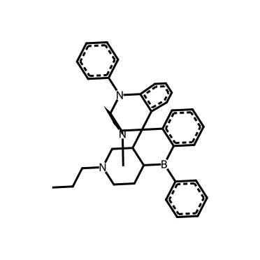 CCCN1CCC2B(c3ccccc3)c3ccccc3C3(c4ccccc4N(c4ccccc4)C4CCCN(C)C43)C2C1